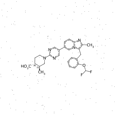 Cc1nc2ccc(-c3cnc(N4CC[C@@H](C(=O)O)[C@H](C)C4)nc3)cn2c1Cc1ccccc1OC(F)F